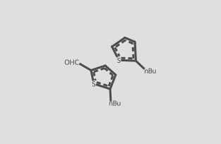 CCCCc1ccc(C=O)s1.CCCCc1cccs1